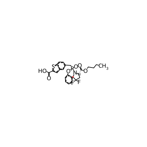 CCCCOC(=O)[C@@H]1CC(F)(F)CN1P(=O)(Cc1ccc2sc(C(=O)O)cc2c1)Oc1ccccc1